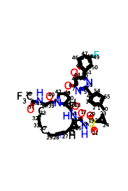 Cc1ccc(-c2nc(O[C@@H]3C[C@H]4C(=O)N[C@]5(C(=O)NS(=O)(=O)C6CC6)C[C@H]5/C=C\CCCCC[C@H](NC(=O)C(F)(F)F)C(=O)N4C3)c3oc4ccc(F)cc4c3n2)cc1